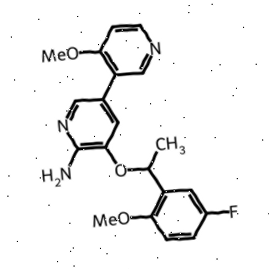 COc1ccncc1-c1cnc(N)c(OC(C)c2cc(F)ccc2OC)c1